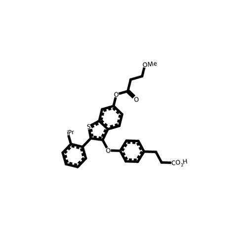 COCCC(=O)Oc1ccc2c(Oc3ccc(CCC(=O)O)cc3)c(-c3ccccc3C(C)C)sc2c1